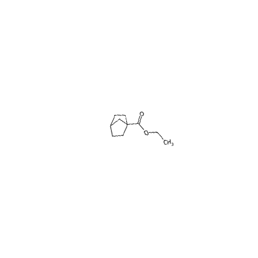 CCOC(=O)C12CCC(CC1)C2